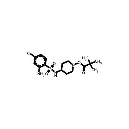 CC(C)(C)C(=O)ON1CCC(NS(=O)(=O)c2ccc(Cl)cc2N)CC1